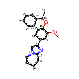 COc1cc(-c2cn3ccccc3n2)ccc1O[C@H](C)c1ccccc1